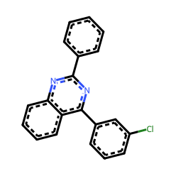 Clc1cccc(-c2nc(-c3ccccc3)nc3ccccc23)c1